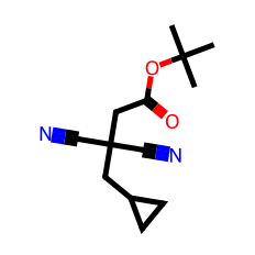 CC(C)(C)OC(=O)CC(C#N)(C#N)CC1CC1